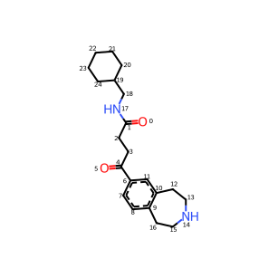 O=C(CCC(=O)c1ccc2c(c1)CCNCC2)NCC1CCCCC1